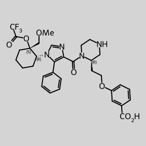 COC[C@]1(OC(=O)C(F)(F)F)CCCC[C@H]1n1cnc(C(=O)N2CCNC[C@H]2CCOc2cccc(C(=O)O)c2)c1-c1ccccc1